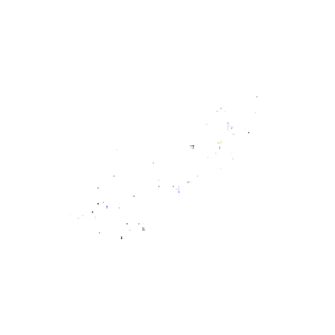 CCCCN1C(=O)CSc2ccc(C(=O)Nc3ccc(S(=O)(=O)N4CCCCC4)cc3)cc21